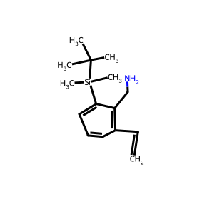 C=Cc1cccc([Si](C)(C)C(C)(C)C)c1CN